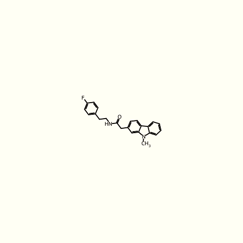 Cn1c2ccccc2c2ccc(CC(=O)NCCc3ccc(F)cc3)cc21